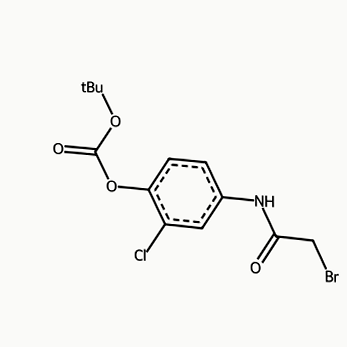 CC(C)(C)OC(=O)Oc1ccc(NC(=O)CBr)cc1Cl